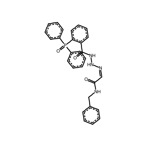 O=C(/C=N\NNC(=O)c1ccccc1P(=O)(c1ccccc1)c1ccccc1)NCc1ccccc1